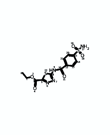 CCOC(=O)c1nnc(NC(=O)c2ccc(S(N)(=O)=O)cc2)s1